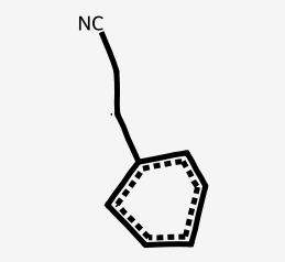 N#CC[CH]c1ccccc1